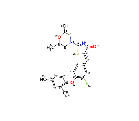 CC1CN(C2=NC(=O)/C(=C/c3ccc(Oc4ccc(C#N)cc4C(F)(F)F)c(F)c3)S2)CC(C)O1